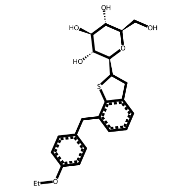 CCOc1ccc(Cc2cccc3c2SC([C@@H]2O[C@H](CO)[C@@H](O)[C@H](O)[C@H]2O)C3)cc1